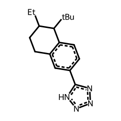 CCC1CCc2cc(-c3nnn[nH]3)ccc2C1C(C)(C)C